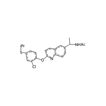 CC(=O)NC(C)c1ccc2nc(Oc3ccc(SC(C)C)cc3Cl)ccc2c1